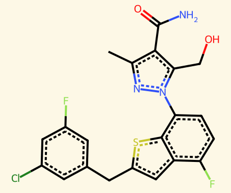 Cc1nn(-c2ccc(F)c3cc(Cc4cc(F)cc(Cl)c4)sc23)c(CO)c1C(N)=O